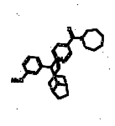 C=CCN1C2CCC1CN(C(c1ccc(C(=O)N3CCCCCC3)cc1)c1cccc(OC)c1)C2